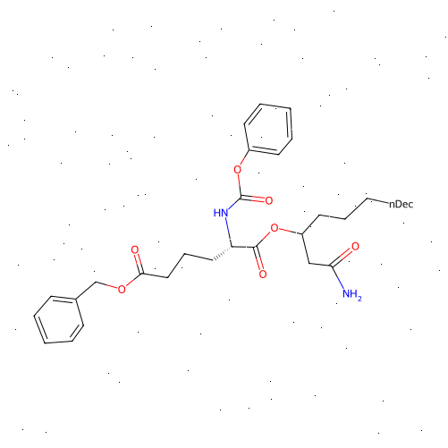 CCCCCCCCCCCCCC(CC(N)=O)OC(=O)[C@H](CCCC(=O)OCc1ccccc1)NC(=O)Oc1ccccc1